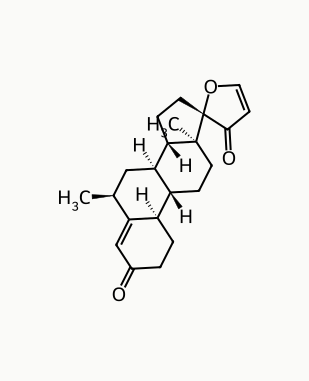 C[C@H]1C[C@@H]2[C@H](CC[C@@]3(C)[C@H]2CC[C@]32OC=CC2=O)[C@H]2CCC(=O)C=C12